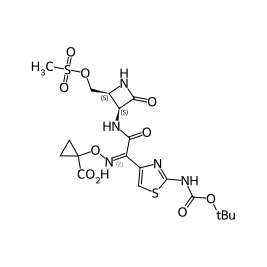 CC(C)(C)OC(=O)Nc1nc(/C(=N/OC2(C(=O)O)CC2)C(=O)N[C@@H]2C(=O)N[C@@H]2COS(C)(=O)=O)cs1